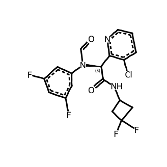 O=CN(c1cc(F)cc(F)c1)[C@H](C(=O)NC1CC(F)(F)C1)c1ncccc1Cl